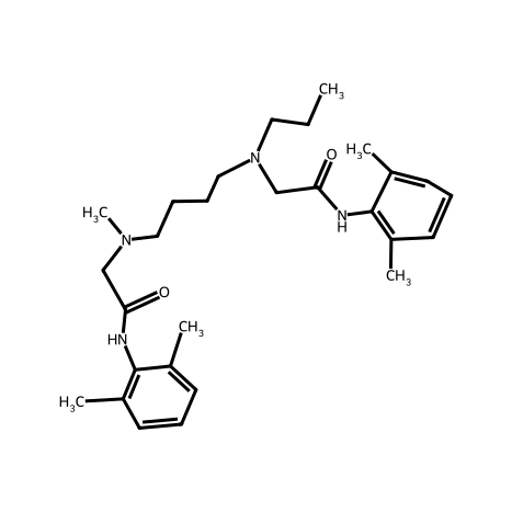 CCCN(CCCCN(C)CC(=O)Nc1c(C)cccc1C)CC(=O)Nc1c(C)cccc1C